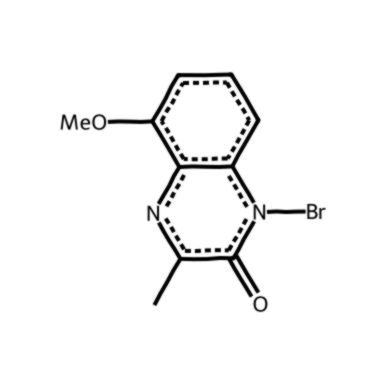 COc1cccc2c1nc(C)c(=O)n2Br